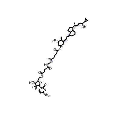 C=C1/C(=C\C=C2/CCC[C@@]3(C)C2CCC3[C@@H](C)/C=C/C(O)C2CC2)C[C@@H](OC(=O)CCC/C(C)=N/NC(=O)CCC(=O)OCC2OC(n3ccc(N)nc3=O)C(F)(F)C2O)C[C@@H]1O